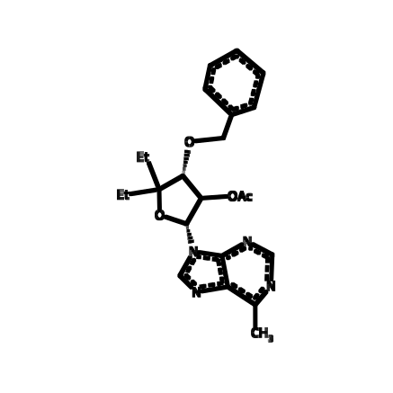 CCC1(CC)O[C@@H](n2cnc3c(C)ncnc32)C(OC(C)=O)[C@H]1OCc1ccccc1